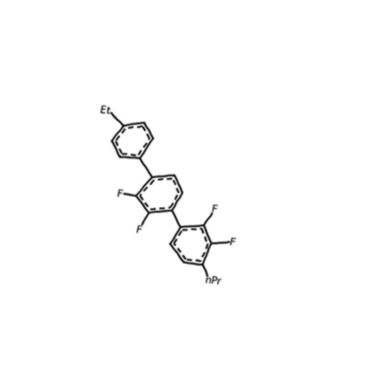 CCCc1ccc(-c2ccc(-c3ccc(CC)cc3)c(F)c2F)c(F)c1F